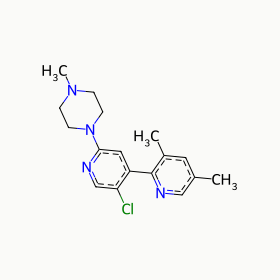 Cc1cnc(-c2cc(N3CCN(C)CC3)ncc2Cl)c(C)c1